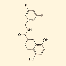 O=C(NCc1cc(F)cc(F)c1)C1CCc2c(O)ccc(O)c2C1